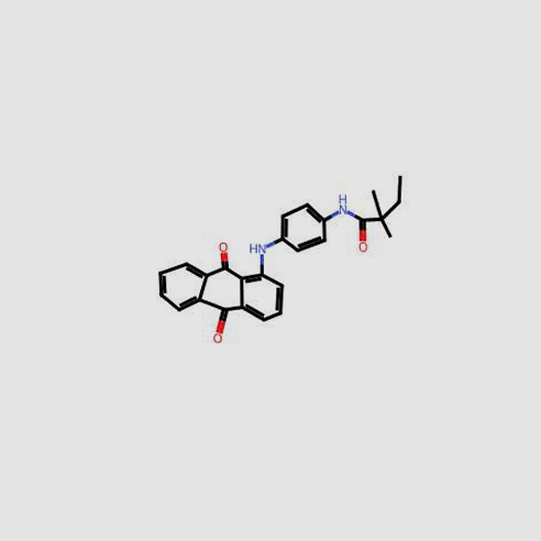 CCC(C)(C)C(=O)Nc1ccc(Nc2cccc3c2C(=O)c2ccccc2C3=O)cc1